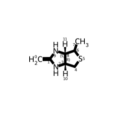 C=C1N[C@H]2CSC(C)[C@H]2N1